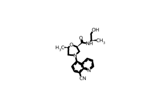 C[C@H](CO)NC(=O)[C@H]1CN(c2ccc(C#N)c3ncccc23)C[C@@H](C)O1